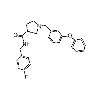 O=C(NCc1ccc(F)cc1)C1CCN(Cc2cccc(Oc3ccccc3)c2)C1